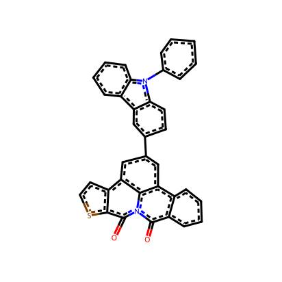 O=c1c2ccccc2c2cc(-c3ccc4c(c3)c3ccccc3n4-c3ccccc3)cc3c4ccsc4c(=O)n1c23